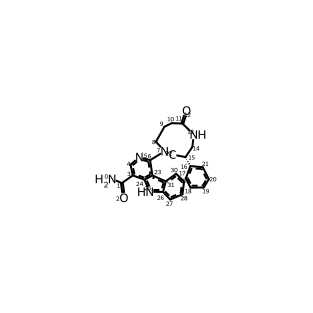 NC(=O)c1cnc(N2CCCC(=O)NC[C@H](c3ccccc3)C2)c2c1[nH]c1ccccc12